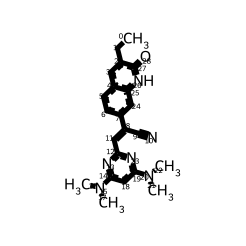 CCc1cc2ccc(/C(C#N)=C/c3nc(N(C)C)cc(N(C)C)n3)cc2[nH]c1=O